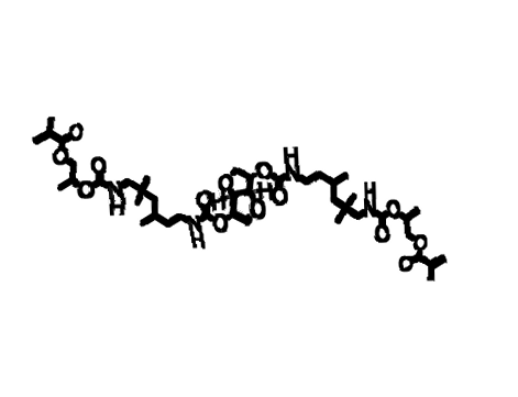 C=C(C)C(=O)OCC(C)OC(=O)NCC(C)(C)CC(C)CCNC(=O)O[C@H]1CO[C@H]2[C@@H]1OC[C@H]2OC(=O)NCCC(C)CC(C)(C)CNC(=O)OC(C)COC(=O)C(=C)C